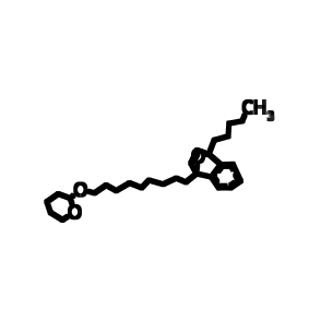 CCCCCC12C=CC(CCCCCCCCCOC3CCCCO3)(O1)c1ccccc12